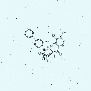 CC(C)n1cnc2c(c1=O)[C@@H](Cc1cccc(-c3ccccc3)c1)[C@@H](NS(C)(=O)=O)C(F)(F)C2=O